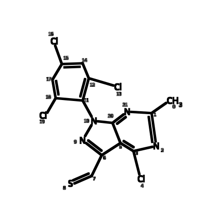 Cc1nc(Cl)c2c(C=S)nn(-c3c(Cl)cc(Cl)cc3Cl)c2n1